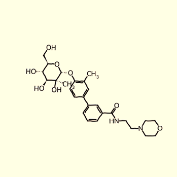 Cc1cc(-c2cccc(C(=O)NCCN3CCOCC3)c2)ccc1O[C@H]1O[C@H](CO)[C@@H](O)[C@H](O)[C@]1(C)O